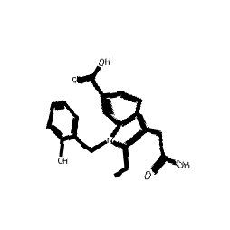 CCc1c(CC(=O)O)c2ccc(C(=O)O)cc2n1Cc1ccccc1O